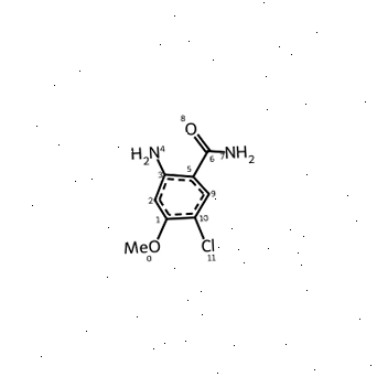 COc1cc(N)c(C(N)=O)cc1Cl